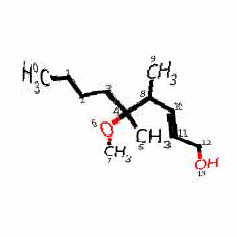 CCCCC(C)(OC)C(C)/C=C/CO